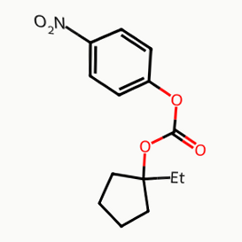 CCC1(OC(=O)Oc2ccc([N+](=O)[O-])cc2)CCCC1